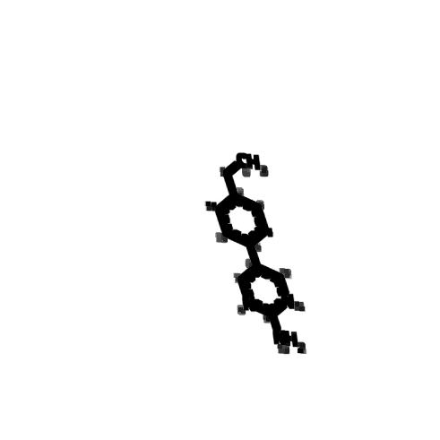 CCc1ccc(-c2cnc(N)nc2)cc1